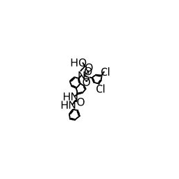 O=C(O)CN(c1cccc2c(NC(=O)Nc3ccccc3)cccc12)S(=O)(=O)c1cc(Cl)cc(Cl)c1